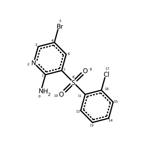 Nc1ncc(Br)cc1S(=O)(=O)c1ccccc1Cl